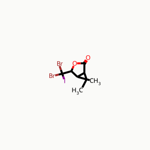 CC1(C)C2C(=O)OC(C(Br)(Br)I)C21